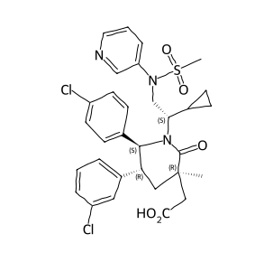 C[C@]1(CC(=O)O)C[C@H](c2cccc(Cl)c2)[C@@H](c2ccc(Cl)cc2)N([C@H](CN(c2cccnc2)S(C)(=O)=O)C2CC2)C1=O